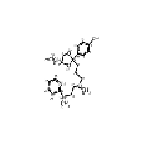 CN(CCCC1(c2ccc(F)cc2)OCCO1)CCN(C)c1ncccn1.Cl.Cl